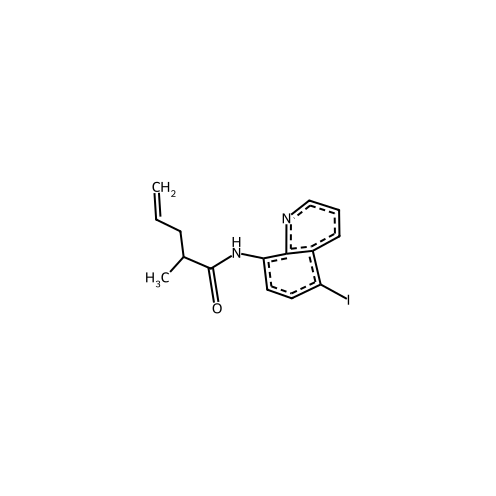 C=CCC(C)C(=O)Nc1ccc(I)c2cccnc12